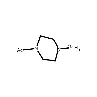 CC(=O)N1CCN([11CH3])CC1